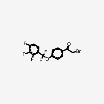 O=C(CBr)c1ccc(OC(F)(F)c2ccc(F)c(F)c2F)cc1